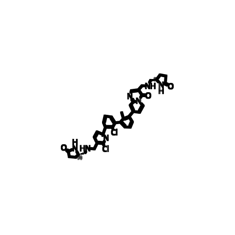 Cc1c(-c2ccn3c(=O)c(CNC[C@H]4CCC(=O)N4)cnc3c2)cccc1-c1cccc(-c2ccc(CNC[C@@H]3CCC(=O)N3)c(Cl)n2)c1Cl